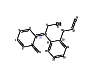 C=c1cccc/c1=C(\CO)c1ccccc1CC=O